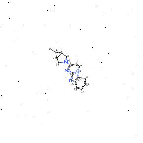 CC1C2CN(c3ccn4c(n3)nc3ccccc34)CC12